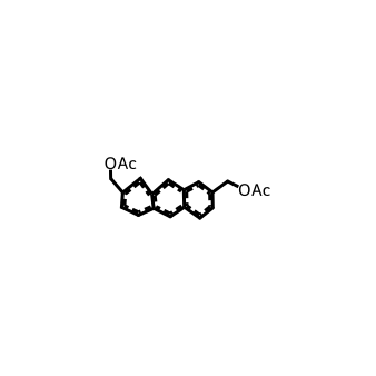 CC(=O)OCc1ccc2cc3ccc(COC(C)=O)cc3cc2c1